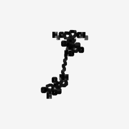 C[C@H]1C=C2C=C[C@H](C)[C@H](CC[C@@H]3C[C@@H](O)CC(=O)O3)[C@H]2[C@@H](OC(=O)NCCCCCCCCCCNc2cccc3c2C(=O)N(C2CCC(=O)NC2=O)C3=O)C1